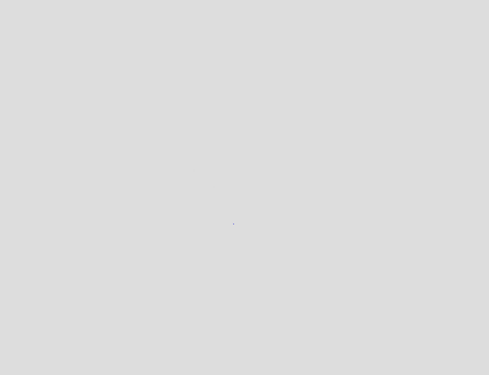 Oc1ccc2[nH]cc(Br)c2c1